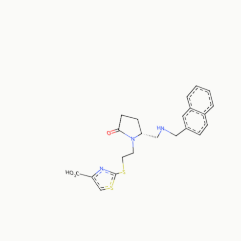 O=C(O)c1csc(SCCN2C(=O)CC[C@@H]2CNCc2ccc3ccccc3c2)n1